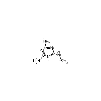 Nc1nc(N)nc(N[SiH3])n1